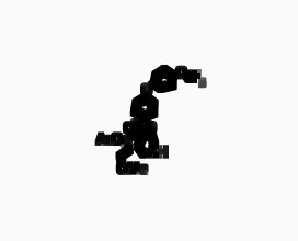 COCCN(OC(C)=O)C(=O)C1(S(=O)(=O)c2ccc(Oc3ccc(OC(F)(F)F)cc3)cc2)CCNCC1